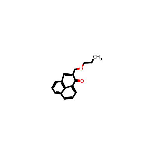 CCCOCC1=Cc2cccc3cccc(c23)C1=O